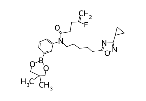 C=C(F)CCC(=O)N(CCCCCc1nc(C2CC2)no1)c1cccc(B2OCC(C)(C)CO2)c1